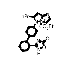 CCCC1=CC2=NC=C[N+]2(C(=O)OCC)N1c1ccc(-c2ccccc2-c2nc(=O)o[nH]2)cc1